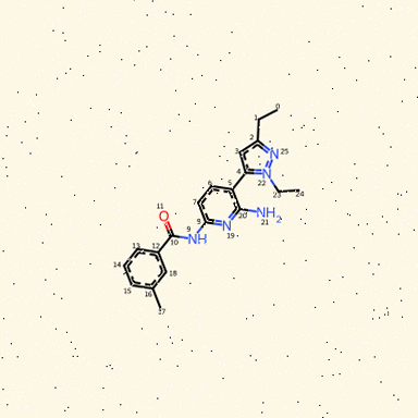 CCc1cc(-c2ccc(NC(=O)c3cccc(C)c3)nc2N)n(CC)n1